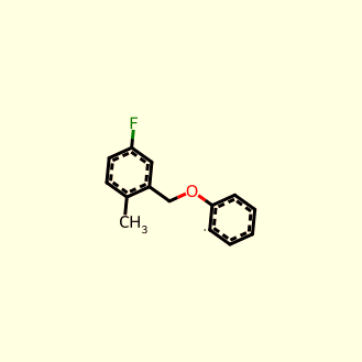 Cc1ccc(F)cc1COc1[c]cccc1